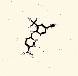 N#Cc1ccc(OC2CC=C([N+](=O)[O-])C=N2)c(C(F)(F)F)c1